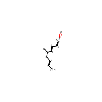 CCC(C)C=CCC(C)C=CC=C=O